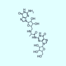 CC(NCC1OC(n2cnc3c(=O)[nH]c(N)nc32)C(O)C1O)C(=O)Nc1nc2c(ncn2C2OC(CO)C(O)C2O)c(=O)[nH]1